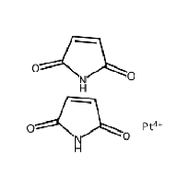 O=C1C=CC(=O)N1.O=C1C=CC(=O)N1.[Pt+4]